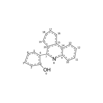 Oc1ccccc1-c1nc2ccccc2c2ccccc12